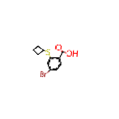 O=C(O)c1ccc(Br)cc1SC1CCC1